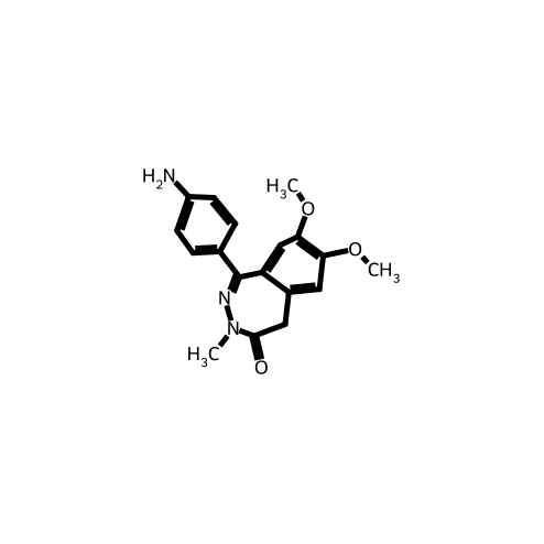 COc1cc2c(cc1OC)C(c1ccc(N)cc1)=NN(C)C(=O)C2